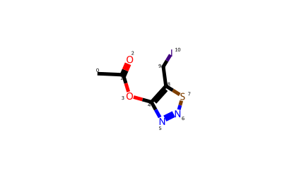 CC(=O)Oc1nnsc1CI